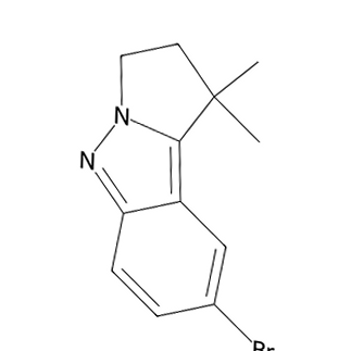 CC1(C)CCn2nc3ccc(Br)cc3c21